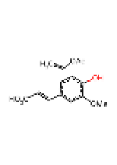 C=COC(C)=O.COc1cc(C=CC(=O)O)ccc1O